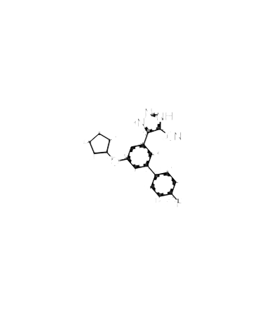 N#Cc1[nH]nnc1-c1cc(OC2CCCC2)cc(-c2ccc(F)cc2)c1